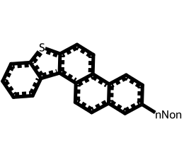 CCCCCCCCCc1ccc2c(ccc3c2ccc2sc4ccccc4c23)c1